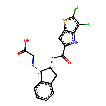 O=C(O)CN[C@H]1c2ccccc2C[C@H]1NC(=O)c1cc2sc(Cl)c(Cl)c2[nH]1